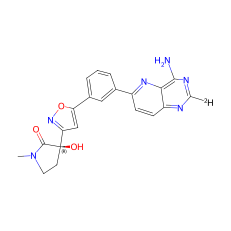 [2H]c1nc(N)c2nc(-c3cccc(-c4cc([C@]5(O)CCN(C)C5=O)no4)c3)ccc2n1